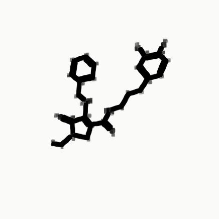 CCN1CC(C(=O)NCCCc2ccc(Cl)c(Cl)c2)=C(NCc2ccccc2)C1=O